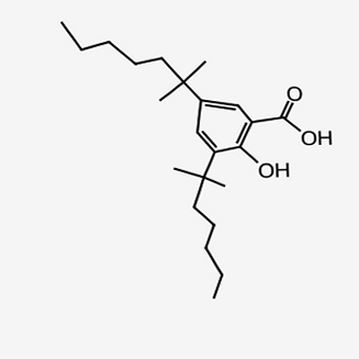 CCCCCC(C)(C)c1cc(C(=O)O)c(O)c(C(C)(C)CCCCC)c1